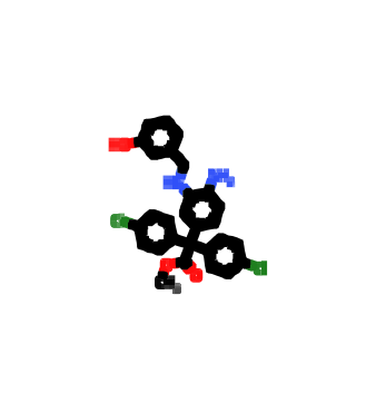 COC(=O)C(c1ccc(Cl)cc1)(c1ccc(Cl)cc1)c1ccc(N)c(NCc2cccc(O)c2)c1